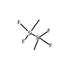 C[Si](F)(F)[Si](C)(F)F